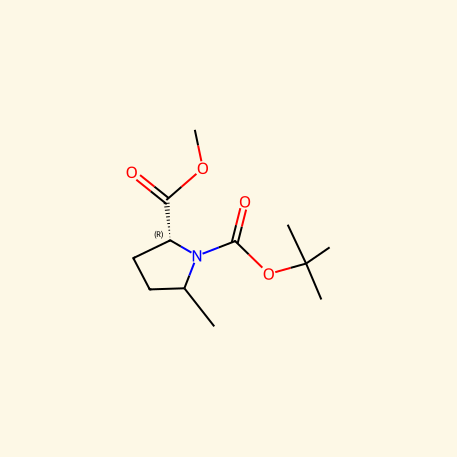 COC(=O)[C@H]1CCC(C)N1C(=O)OC(C)(C)C